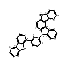 c1cc(-c2cccc3c2oc2ccccc23)nc(-n2c3ccccc3c3c4c(ccc32)[nH]c2ccccc24)c1